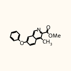 COC(=O)c1ncc2cc(Oc3ccccc3)ccc2c1C